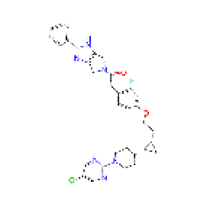 O=C(Cc1ccc(OCC[C@@H]2C[C@@H]2C2CCN(c3ncc(Cl)cn3)CC2)cc1F)N1Cc2nc(-c3ccccc3)[nH]c2C1